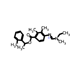 CCN(C)/C=N/c1ccc(C(=O)OC(C)c2ccccc2C)c(C)c1C